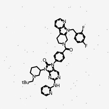 CC(C)(C)CN1CCCC(n2c(=O)n(-c3ccc(C(=O)N4CCc5c(n(Cc6ccc(F)cc6F)c6ncccc56)C4)cc3)c3cnc(Nc4ccccn4)nc32)C1